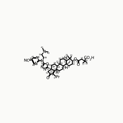 CC(C)C1=C2[C@H]3CC[C@@H]4[C@@]5(C)CC[C@H](OC(=O)CC(C)(C)C(=O)O)C(C)(C)[C@@H]5CC[C@@]4(C)[C@]3(C)CC[C@@]2(c2nnc(N(CCN(C)C)c3ncc(C#N)cn3)o2)CC1=O